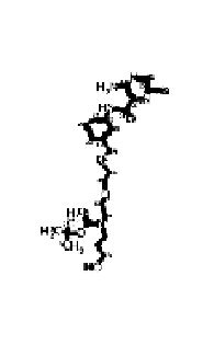 CC(C)(C)OC(=O)N(CCCO)CCOCCOCc1cccc(NC(=O)c2nc(Br)cnc2N)c1